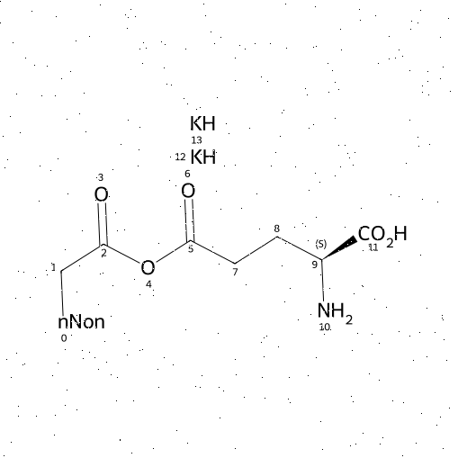 CCCCCCCCCCC(=O)OC(=O)CC[C@H](N)C(=O)O.[KH].[KH]